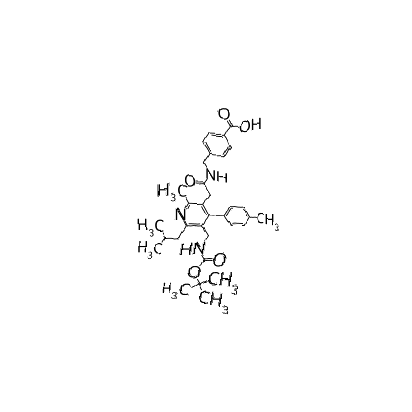 Cc1ccc(-c2c(CC(=O)NCc3ccc(C(=O)O)cc3)c(C)nc(CC(C)C)c2CNC(=O)OC(C)(C)C)cc1